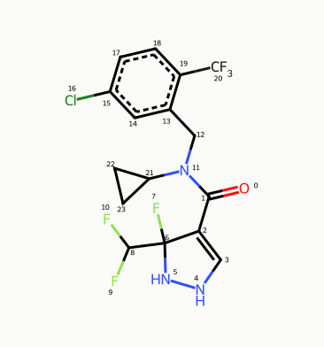 O=C(C1=CNNC1(F)C(F)F)N(Cc1cc(Cl)ccc1C(F)(F)F)C1CC1